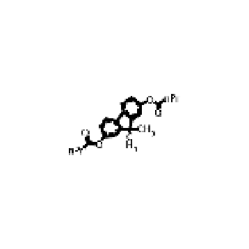 CCCC(=O)Oc1ccc2c(c1)C(C)(C)c1cc(OC(=O)CCC)ccc1-2